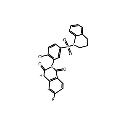 O=c1[nH]c2cc(F)ccc2c(=O)n1-c1cc(S(=O)(=O)N2CCCc3ccccc32)ccc1Cl